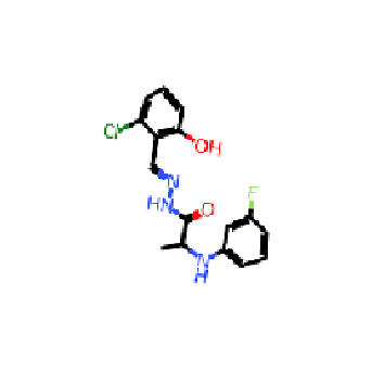 CC(Nc1cccc(F)c1)C(=O)NN=Cc1c(O)cccc1Cl